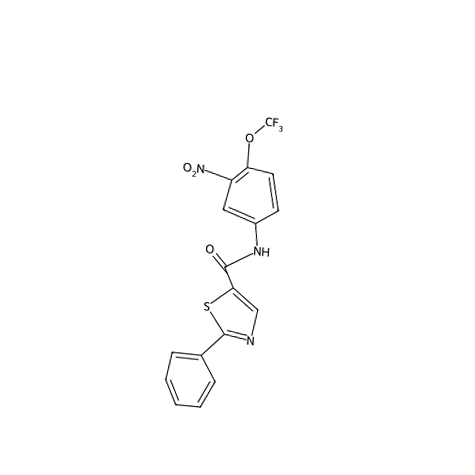 O=C(Nc1ccc(OC(F)(F)F)c([N+](=O)[O-])c1)c1cnc(-c2ccccc2)s1